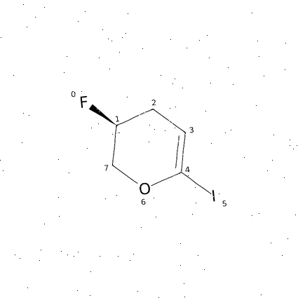 F[C@H]1CC=C(I)OC1